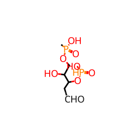 CP(=O)(O)OCC(O)C(CC=O)O[PH](=O)O